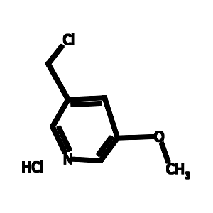 COc1cncc(CCl)c1.Cl